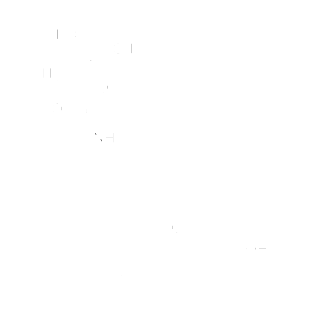 CC(C)(C)OC(=O)NCC1=Cc2c(cccc2OCCO)C1